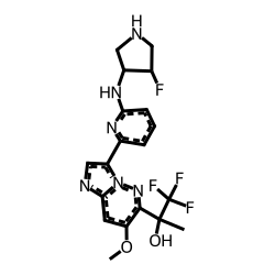 COc1cc2ncc(-c3cccc(NC4CNCC4F)n3)n2nc1C(C)(O)C(F)(F)F